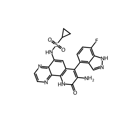 Nc1c(-c2ccc(F)c3[nH]ncc23)c2cc(NS(=O)(=O)C3CC3)c3nccnc3c2[nH]c1=O